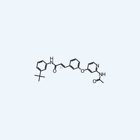 CC(=O)Nc1cc(Oc2cccc(/C=C/C(=O)Nc3cccc(C(C)(C)C)c3)c2)ccn1